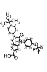 CC(C)(C)[C@H]1CC[C@H](N(Cc2ccc(C(=O)O)s2)C(=O)Nc2ccc(OC(F)(F)F)cc2)CC1